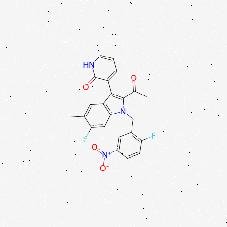 CC(=O)c1c(-c2ccc[nH]c2=O)c2cc(C)c(F)cc2n1Cc1cc([N+](=O)[O-])ccc1F